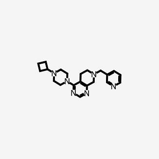 c1cncc(CN2CCc3c(ncnc3N3CCN(C4CCC4)CC3)C2)c1